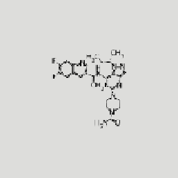 CC[C@H](C)n1ncc2nc(N3CCN(C(N)=O)CC3)nc(NC(C)c3cnc4cc(F)c(F)cc4c3)c21